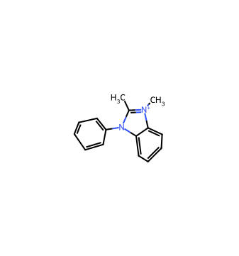 Cc1n(-c2ccccc2)c2ccccc2[n+]1C